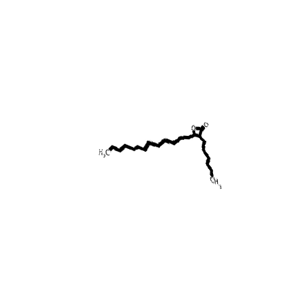 C[CH]CCCCCCCCCCCC1OC(=O)C1CCCCCC